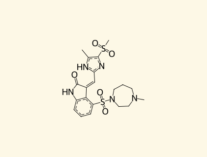 Cc1[nH]c(/C=C2\C(=O)Nc3cccc(S(=O)(=O)N4CCCN(C)CC4)c32)nc1S(C)(=O)=O